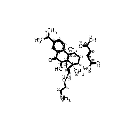 CC(C)c1ccc2c(c1)C(=O)C(O)[C@H]1[C@](C)(/C=N/OCCN)CCC[C@]21C.O=C(O)/C=C/C(=O)O